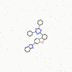 C1=CC2c3c(cccc3-c3nc(-c4ccccc4)nc(-c4ccccc4)n3)OC2C=C1c1cn2ccccc2n1